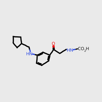 O=C(O)NCCC(=O)c1cccc(NCC2CCCC2)c1